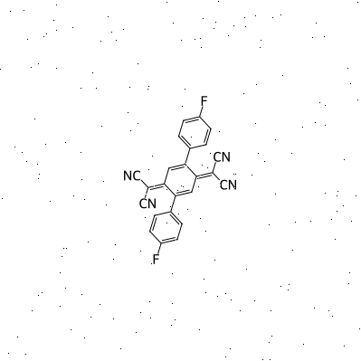 N#CC(C#N)=c1cc(-c2ccc(F)cc2)c(=C(C#N)C#N)cc1-c1ccc(F)cc1